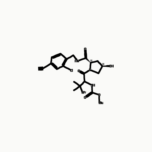 C#Cc1ccc(CNC(=O)[C@@H]2C[C@@H](O)CN2C(=O)C(NC(=O)OC(C)(C)C)C(C)(C)CCC)c(Cl)c1